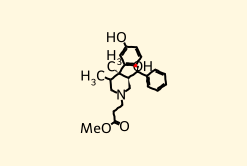 COC(=O)CCN1CC(C)[C@@](C)(c2cccc(O)c2)[C@@H]([C@@H](O)c2ccccc2)C1